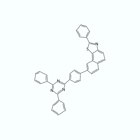 c1ccc(-c2nc(-c3ccccc3)nc(-c3ccc(-c4ccc5ccc6nc(-c7ccccc7)sc6c5c4)cc3)n2)cc1